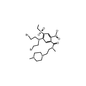 CCS(=O)(=O)c1cc([N+](=O)[O-])c(C(=O)N(C)CCN2CCN(C)CC2)cc1N(CCBr)CCBr